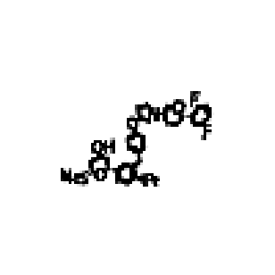 CS[C@@H]1C[C@H](O)C[C@H](c2ccc(C(C)C)c(Cc3ccc(O[C@@H]4CCN([C@@H]5CC[C@@H](c6cc(F)ccc6F)OC5)C4)cc3)c2)O1